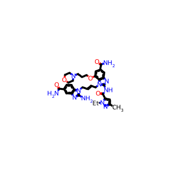 CCn1nc(C)cc1C(=O)Nc1nc2cc(C(N)=O)cc(OCCCN3CCOCC3)c2n1C/C=C/Cn1c(N)nc2cc(C(N)=O)ccc21